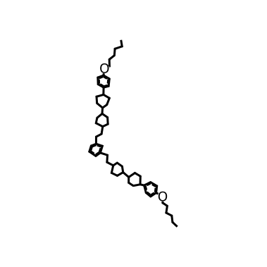 CCCCCCOc1ccc(C2CCC(C3CCC(CCc4cccc(CCC5CCC(C6CCC(c7ccc(OCCCCCC)cc7)CC6)CC5)c4)CC3)CC2)cc1